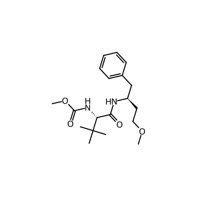 COCC[C@H](Cc1ccccc1)NC(=O)[C@@H](NC(=O)OC)C(C)(C)C